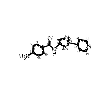 Nc1ccc(C(=O)Nc2cnc(-c3ccncc3)s2)cc1